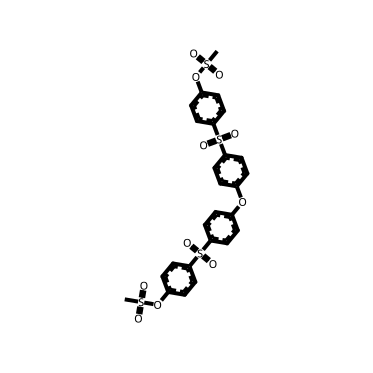 CS(=O)(=O)Oc1ccc(S(=O)(=O)c2ccc(Oc3ccc(S(=O)(=O)c4ccc(OS(C)(=O)=O)cc4)cc3)cc2)cc1